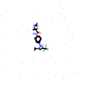 Cc1nc(C)c(C(=O)Nc2ccc(-n3nc(C(F)(F)F)cc3C3CC3)cc2)s1